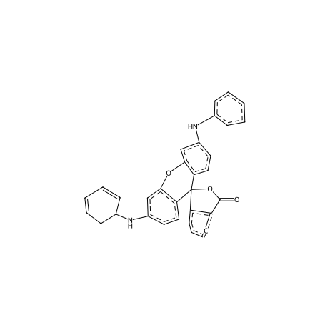 O=C1OC2(c3ccc(Nc4ccccc4)cc3Oc3cc(NC4C=CC=CC4)ccc32)c2ccccc21